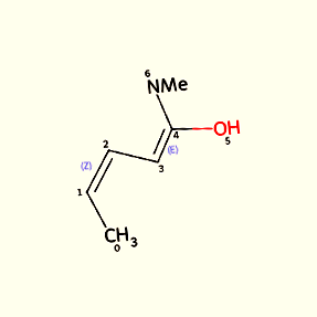 C/C=C\C=C(\O)NC